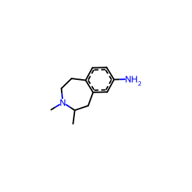 CC1Cc2cc(N)ccc2CCN1C